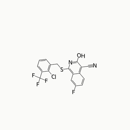 N#Cc1c(O)nc(SCc2cccc(C(F)(F)F)c2Cl)c2cc(F)ccc12